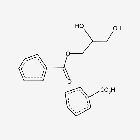 O=C(O)c1ccccc1.O=C(OCC(O)CO)c1ccccc1